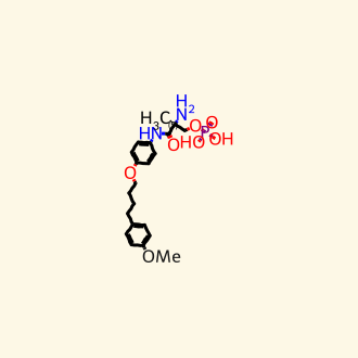 COc1ccc(CCCCOc2ccc(NC(=O)[C@@](C)(N)COP(=O)(O)O)cc2)cc1